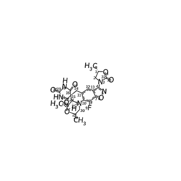 C[C@H]1CN(c2noc3c(F)c4c(cc23)CC2(C(=O)NC(=O)NC2=O)[C@@H]2[C@@H](C)O[C@@H](C)CN42)C(=O)O1